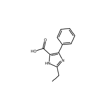 CCc1nc(-c2ccccc2)c(C(=O)O)[nH]1